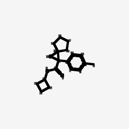 Cc1ccc(C2(C(=O)OC3CCC3)OC23CCCC3)cc1